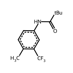 Cc1ccc(NC(=O)C(C)(C)C)cc1C(F)(F)F